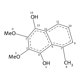 COc1c(OC)c(O)c2c(C)cccc2c1O